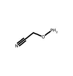 N#CCOP